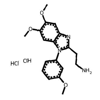 COc1cccc(-n2c(CCN)nc3cc(OC)c(OC)cc32)c1.Cl.Cl